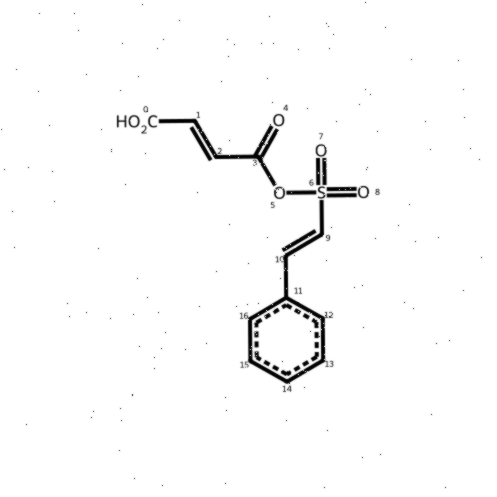 O=C(O)C=CC(=O)OS(=O)(=O)C=Cc1ccccc1